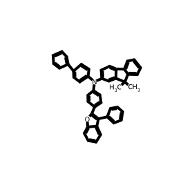 CC1(C)c2ccccc2-c2ccc(N(c3ccc(-c4ccccc4)cc3)c3ccc(-c4oc5ccccc5c4-c4ccccc4)cc3)cc21